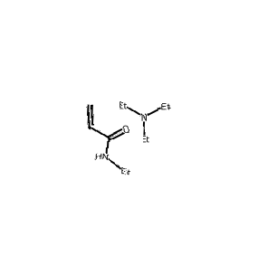 C=CC(=O)NCC.CCN(CC)CC